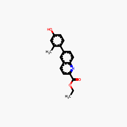 CCOC(=O)c1ccc2cc(-c3ccc(O)cc3C)ccc2n1